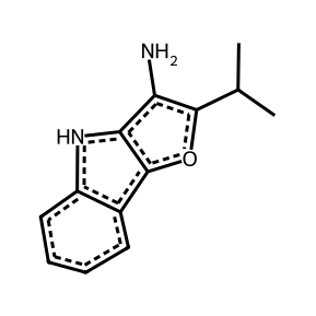 CC(C)c1oc2c([nH]c3ccccc32)c1N